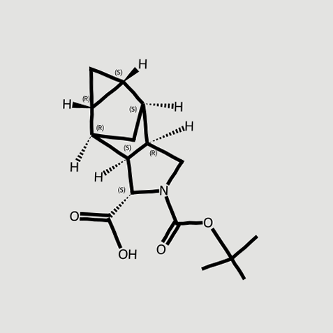 CC(C)(C)OC(=O)N1C[C@@H]2[C@H]3C[C@H]([C@@H]4C[C@@H]43)[C@@H]2[C@H]1C(=O)O